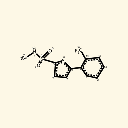 CC(C)(C)NS(=O)(=O)c1ccc(-c2ccccc2C(F)(F)F)s1